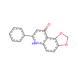 O=c1cc(-c2ccccc2)[nH]c2ccc3c(c12)OCO3